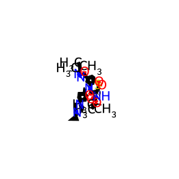 CC(C)(C)OC(=O)N[C@H]1CS(=O)(=O)c2ccc(-c3nnc(C(C)(C)C)o3)cc2N(Cc2ccc(N3CCN(C4CC4)CC3)cc2)C1=O